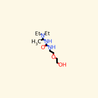 [CH2]CN(C[CH2])C(C)NC(=O)NCCOCCO